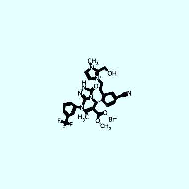 COC(=O)C1=C(C)N(c2cccc(C(F)(F)F)c2)c2n[nH]c(=O)n2[C@@H]1c1ccc(C#N)cc1CC[n+]1ccn(C)c1CO.[Br-]